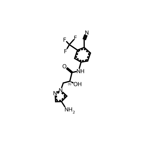 N#Cc1ccc(NC(=O)[C@@H](O)Cn2cc(N)cn2)cc1C(F)(F)F